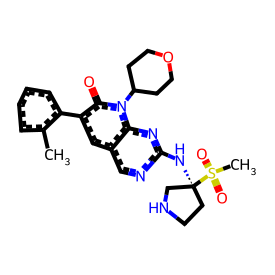 Cc1ccccc1-c1cc2cnc(N[C@]3(S(C)(=O)=O)CCNC3)nc2n(C2CCOCC2)c1=O